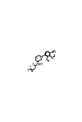 C=Nc1c(N2C[C@@H](C)C[C@@H](NC(=O)CC3CC3(F)F)C2)ccc(C#N)c1/N=C\C